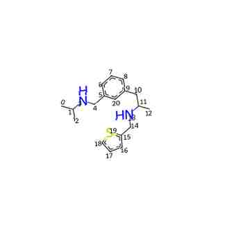 CC(C)NCc1cccc(CC(C)NCc2cccs2)c1